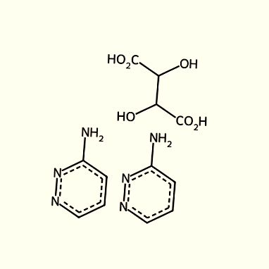 Nc1cccnn1.Nc1cccnn1.O=C(O)C(O)C(O)C(=O)O